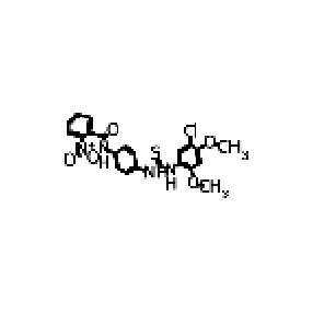 COc1cc(OC)c(NC(=S)Nc2ccc(NC(=O)c3ccccc3[N+](=O)[O-])cc2)cc1Cl